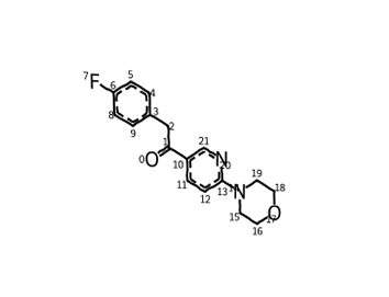 O=C(Cc1ccc(F)cc1)c1ccc(N2CCOCC2)nc1